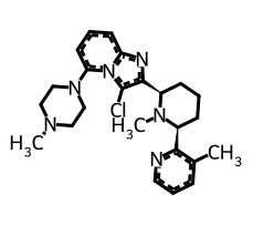 Cc1cccnc1[C@@H]1CCC[C@H](c2nc3cccc(N4CCN(C)CC4)n3c2Cl)N1C